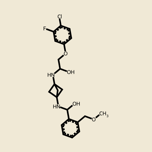 COCc1ccccc1C(O)NC12CC(NC(O)COc3ccc(Cl)c(F)c3)(C1)C2